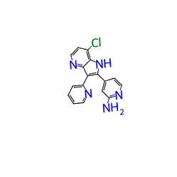 Nc1cc(-c2[nH]c3c(Cl)ccnc3c2-c2ccccn2)ccn1